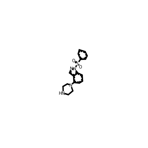 O=S(=O)(c1ccccc1)n1ncc2c(N3CCNCC3)cccc21